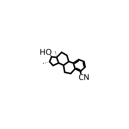 C[C@H]1CC2C3CCc4c(C#N)cccc4C3CC[C@]2(C)[C@H]1O